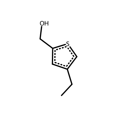 CCc1csc(CO)c1